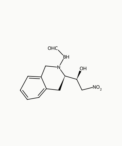 O=CBN1Cc2ccccc2C[C@@H]1[C@@H](O)C[N+](=O)[O-]